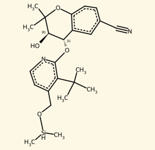 C[SiH](C)OCc1ccnc(O[C@H]2c3cc(C#N)ccc3OC(C)(C)[C@@H]2O)c1C(C)(C)C